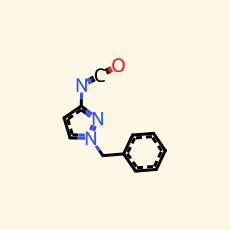 O=C=Nc1ccn(Cc2ccccc2)n1